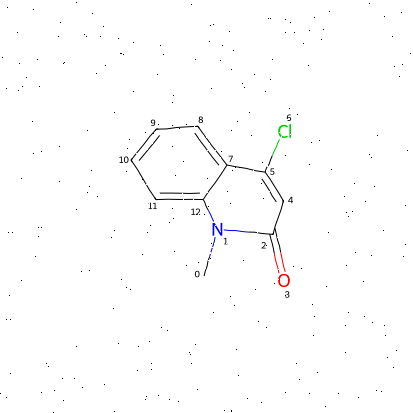 Cn1c(=O)cc(Cl)c2ccccc21